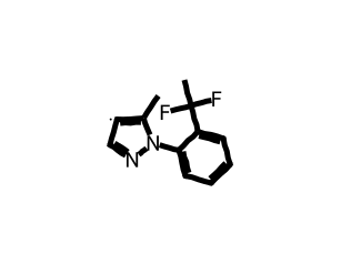 Cc1[c]cnn1-c1ccccc1C(C)(F)F